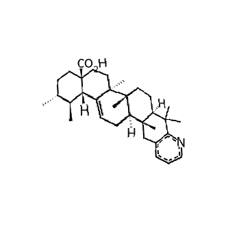 C[C@H]1[C@H](C)CC[C@]2(C(=O)O)CC[C@]3(C)C(=CC[C@@H]4[C@@]5(C)Cc6cccnc6C(C)(C)[C@@H]5CC[C@]43C)[C@H]12